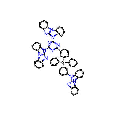 c1ccc([Si](c2ccccc2)(c2cccc(-c3nc(-n4c5ccccc5n5c6ccccc6nc45)nc(-n4c5ccccc5n5c6ccccc6nc45)n3)c2)c2cccc(-n3c4ccccc4n4c5ccccc5nc34)c2)cc1